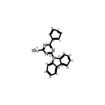 CC(C)(C)c1nc(-c2ccccc2)nc(-n2c3ccccc3c3ccccc32)n1